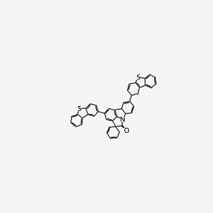 O=C1N2c3c(cc(-c4ccc5sc6ccccc6c5c4)cc3C13C=CC=CC3)C1C=C(C3C=Cc4sc5ccccc5c4C3)C=CC12